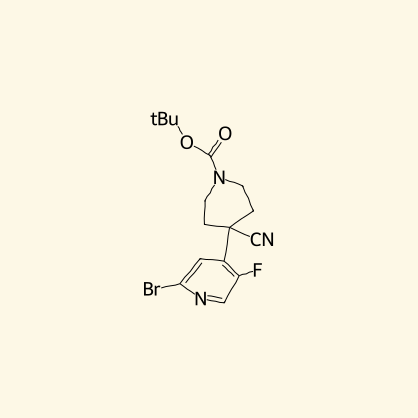 CC(C)(C)OC(=O)N1CCC(C#N)(c2cc(Br)ncc2F)CC1